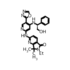 CCN1C(=O)c2ccc(Nc3cc(N[C@H](CO)c4ccccc4)c(-c4nnco4)cn3)nc2C1(C)C